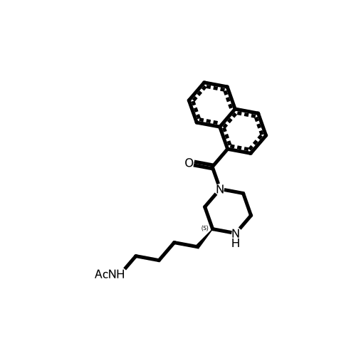 CC(=O)NCCCC[C@H]1CN(C(=O)c2cccc3ccccc23)CCN1